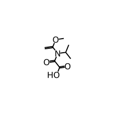 C=C(OC)N(C(=O)C(=O)O)C(C)C